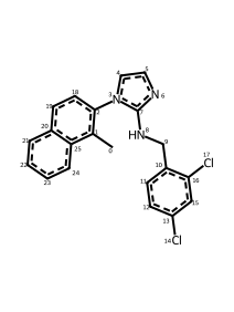 Cc1c(-n2ccnc2NCc2ccc(Cl)cc2Cl)ccc2ccccc12